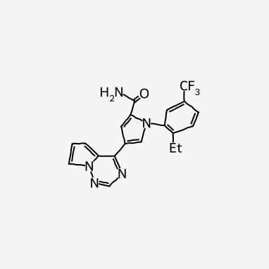 CCc1ccc(C(F)(F)F)cc1-n1cc(-c2ncnn3cccc23)cc1C(N)=O